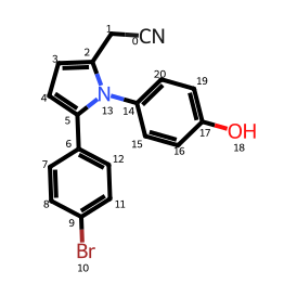 N#CCc1ccc(-c2ccc(Br)cc2)n1-c1ccc(O)cc1